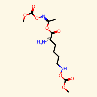 COC(=O)ON=C(C)OC(=O)[C@@H](N)CCCCNOC(=O)OC